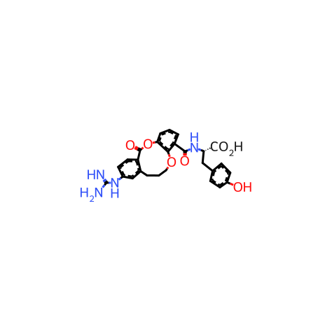 N=C(N)Nc1ccc2c(c1)CCCOc1c(cccc1C(=O)N[C@@H](Cc1ccc(O)cc1)C(=O)O)OC2=O